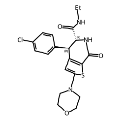 CCNC(=O)[C@@H]1NC(=O)c2sc(N3CCOCC3)cc2[C@H]1c1ccc(Cl)cc1